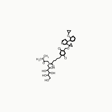 CN(C)C(=O)CN(CC(O)C(O)C(O)C(O)CO)C(=O)CCCCc1cc(Cl)c(COC2(c3cnccc3-c3ccccc3OC3CC3)CC2)cc1Cl